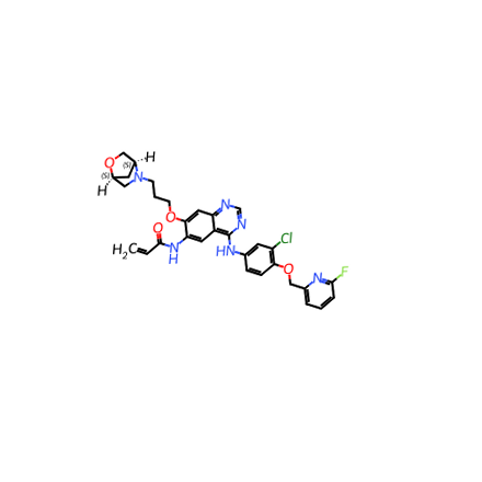 C=CC(=O)Nc1cc2c(Nc3ccc(OCc4cccc(F)n4)c(Cl)c3)ncnc2cc1OCCCN1C[C@@H]2C[C@H]1CO2